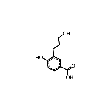 O=C(O)c1ccc(O)c(CCCO)c1